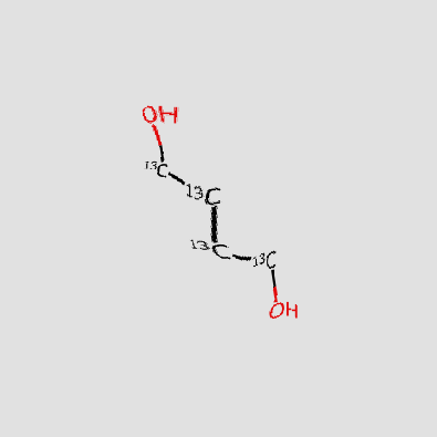 O[13CH2][13CH2][13CH2][13CH2]O